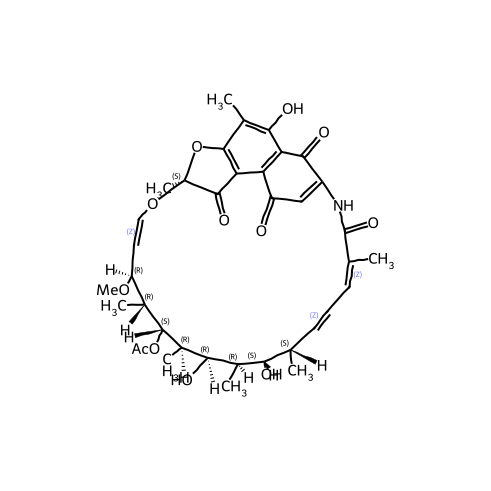 CO[C@H]1/C=C\O[C@@]2(C)Oc3c(C)c(O)c4c(c3C2=O)C(=O)C=C(NC(=O)/C(C)=C\C=C/[C@H](C)[C@H](O)[C@@H](C)[C@@H](O)[C@@H](C)[C@H](OC(C)=O)[C@@H]1C)C4=O